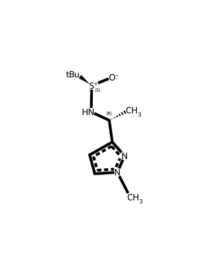 C[C@@H](N[S@+]([O-])C(C)(C)C)c1ccn(C)n1